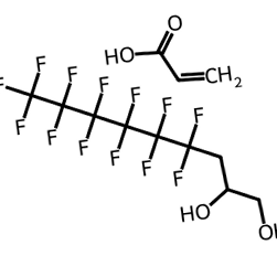 C=CC(=O)O.OCC(O)CC(F)(F)C(F)(F)C(F)(F)C(F)(F)C(F)(F)C(F)(F)F